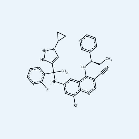 BC(Nc1cc(Cl)c2ncc(C#N)c(N[C@H](CC)c3ccccc3)c2c1)(C1=CN(C2CC2)NN1)c1cccnc1F